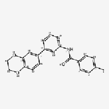 Cc1ccc(C(=O)Nc2nccc(-c3ccc4c(c3)OCCO4)n2)cc1